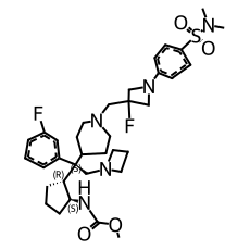 COC(=O)N[C@H]1CCC[C@@H]1[C@](CN1CCC1)(c1cccc(F)c1)C1CCN(CC2(F)CN(c3ccc(S(=O)(=O)N(C)C)cc3)C2)CC1